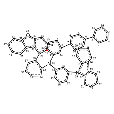 c1ccc(-c2ccc(-c3cccc(N(c4cccc(-n5c6ccccc6c6ccccc65)c4)c4ccccc4-c4cccc5oc6ccccc6c45)c3)cc2)cc1